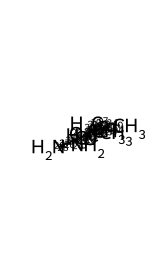 C[C@H]1CC[C@@]2(C)C(CC[C@]3(C)C2CC[C@]2(C)[C@@H](C(=O)COC(=O)C(N)CCCCN)CC[C@@]32C)C1